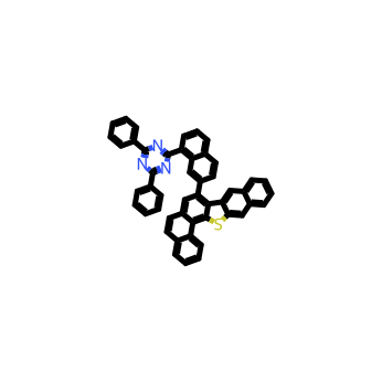 c1ccc(-c2nc(-c3ccccc3)nc(-c3cccc4ccc(-c5cc6ccc7ccccc7c6c6sc7cc8ccccc8cc7c56)cc34)n2)cc1